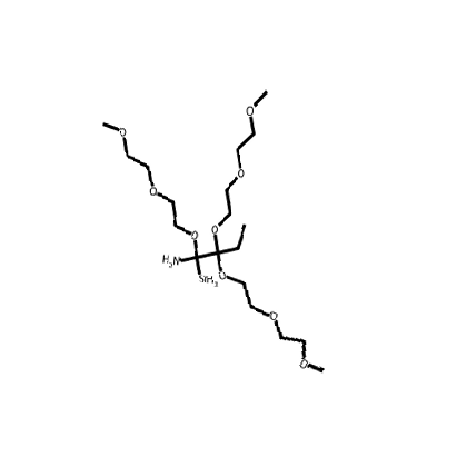 CCC(OCCOCCOC)(OCCOCCOC)C(N)([SiH3])OCCOCCOC